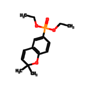 CCOP(=O)(OCC)c1ccc2c(c1)C=CC(C)(C)O2